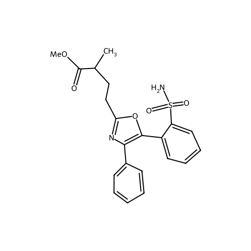 COC(=O)C(C)CCc1nc(-c2ccccc2)c(-c2ccccc2S(N)(=O)=O)o1